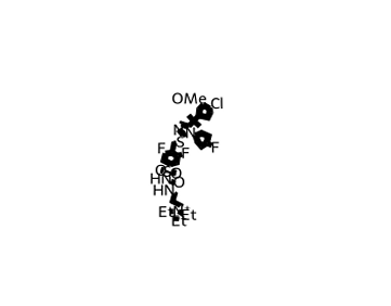 CC[N+](CC)(CC)CCCNC(=O)NS(=O)(=O)c1cc(F)c(CSc2ncc(C(C)(C)c3ccc(Cl)c(OC)c3)n2-c2ccc(F)cc2)c(F)c1